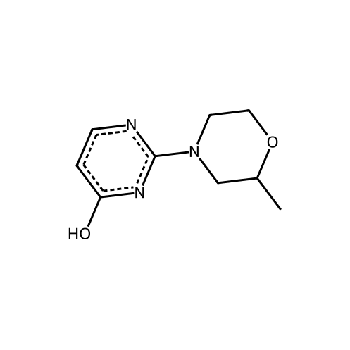 CC1CN(c2nccc(O)n2)CCO1